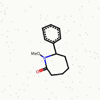 CON1C(=O)CCCCC1c1ccccc1